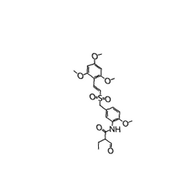 CCC(C=O)C(=O)Nc1cc(CS(=O)(=O)/C=C/c2c(OC)cc(OC)cc2OC)ccc1OC